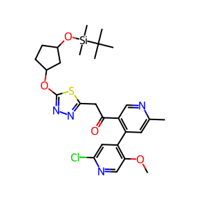 COc1cnc(Cl)cc1-c1cc(C)ncc1C(=O)Cc1nnc(OC2CCC(O[Si](C)(C)C(C)(C)C)C2)s1